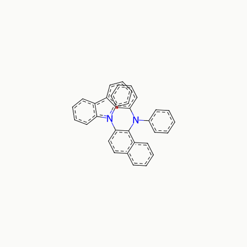 c1ccc(N(c2ccccc2)c2c(-n3c4ccccc4c4ccccc43)ccc3ccccc23)cc1